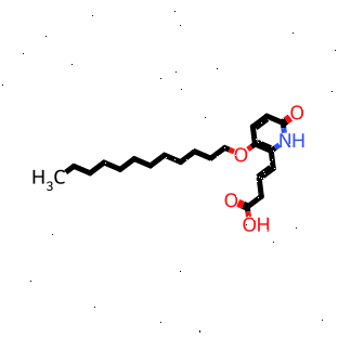 CCCCCCCCCCCCOc1ccc(=O)[nH]c1C=CCC(=O)O